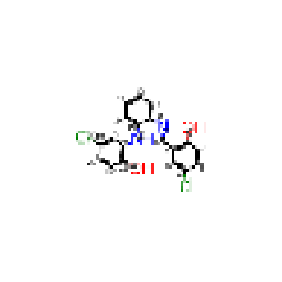 Oc1ccc(Cl)cc1C=Nc1ccccc1Nc1cc(Cl)ccc1O